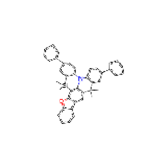 CC1(C)c2cc(-c3ccccc3)ccc2N2c3ccc(-c4ccccc4)cc3[Si](C)(C)c3c2c1cc1c3oc2ccccc21